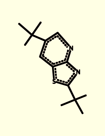 CC(C)(C)c1cnc2nc(C(C)(C)C)sc2c1